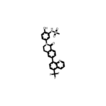 CS(=O)(=O)Nc1cc(N2CCc3cc(-c4ccc(C(F)(F)F)c5cccnc45)ccc3C2=O)ccc1O